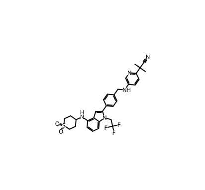 CC(C)(C#N)c1ccc(NCc2ccc(-c3cc4c(NC5CCS(=O)(=O)CC5)cccc4n3CC(F)(F)F)cc2)cn1